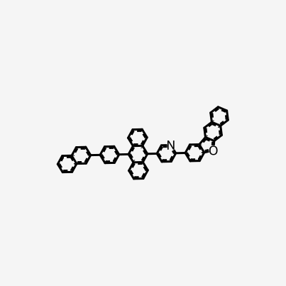 c1ccc2cc(-c3ccc(-c4c5ccccc5c(-c5ccc(-c6ccc7oc8cc9ccccc9cc8c7c6)nc5)c5ccccc45)cc3)ccc2c1